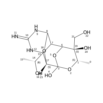 C[C@@H]1OC2(O)OC(C3C4NC(=N)NC3([C@@H](C)O)[C@@H]2O4)[C@]1(O)CO